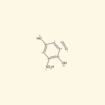 C=O.O=S(=O)(O)c1cc(O)ccc1O